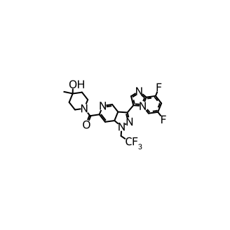 CC1(O)CCN(C(=O)C2=CC3C(C=N2)C(c2cnc4c(F)cc(F)cn24)=NN3CC(F)(F)F)CC1